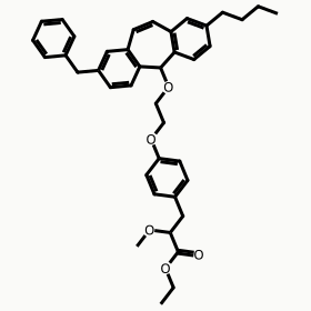 CCCCc1ccc2c(c1)C=Cc1cc(Cc3ccccc3)ccc1C2OCCOc1ccc(CC(OC)C(=O)OCC)cc1